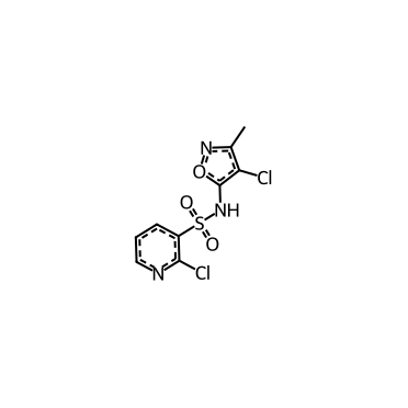 Cc1noc(NS(=O)(=O)c2cccnc2Cl)c1Cl